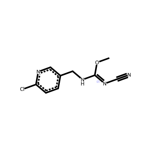 CO/C(=N\C#N)NCc1ccc(Cl)nc1